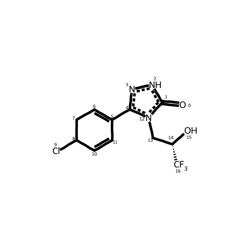 O=c1[nH]nc(C2=CCC(Cl)C=C2)n1C[C@H](O)C(F)(F)F